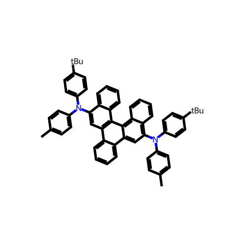 Cc1ccc(N(c2ccc(C(C)(C)C)cc2)c2cc3c4ccccc4c4cc(N(c5ccc(C)cc5)c5ccc(C(C)(C)C)cc5)c5ccccc5c4c3c3ccccc23)cc1